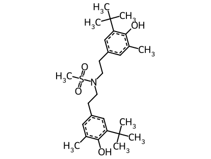 Cc1cc(CCN(CCc2cc(C)c(O)c(C(C)(C)C)c2)S(C)(=O)=O)cc(C(C)(C)C)c1O